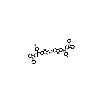 CC1(C)c2cc(N(c3ccc(F)cc3)c3ccc4c(c3)c3ccccc3n4-c3ccccc3)ccc2-c2ccc([Si](C)(C)c3ccc4c(c3)C(C)(C)c3cc(N(c5ccc(F)cc5)c5ccc6c(c5)c5ccccc5n6-c5ccccc5)ccc3-4)cc21